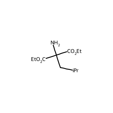 CCOC(=O)C(N)(CC(C)C)C(=O)OCC